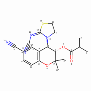 CC(C)C(=O)O[C@H]1[C@H](N2CCS/C2=N/C#N)c2cc(C#N)ccc2OC1(C)C